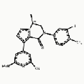 CNc1cc(-c2cnn3c2C(=O)N(c2ccc(C(F)(F)F)c(Cl)c2)C[C@@H]3C)cc(C#N)n1